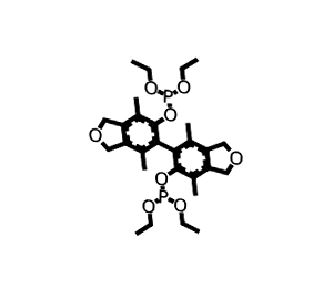 CCOP(OCC)Oc1c(C)c2c(c(C)c1-c1c(C)c3c(c(C)c1OP(OCC)OCC)COC3)COC2